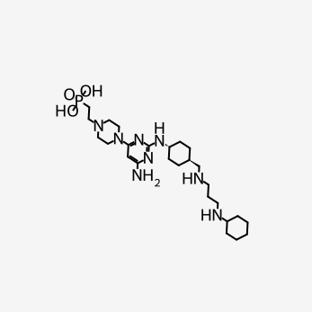 Nc1cc(N2CCN(CCP(=O)(O)O)CC2)nc(N[C@H]2CC[C@H](CNCCCNC3CCCCC3)CC2)n1